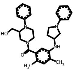 Cc1cc(C)c(C(=O)N2CCN(c3ccccc3)C(CO)C2)cc1NC1CCN(c2ccccc2)C1